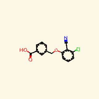 N#Cc1c(Cl)cccc1OCc1cccc(C(=O)O)c1